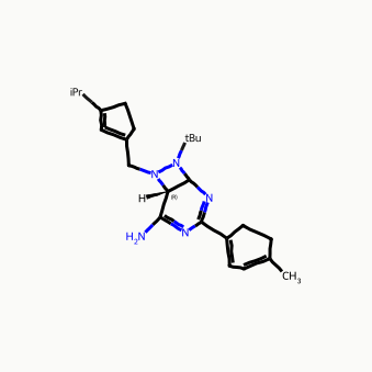 CC1=CC=C(C2=NC3[C@H](C(N)=N2)N(CC2=C=C(C(C)C)CC2)N3C(C)(C)C)CC1